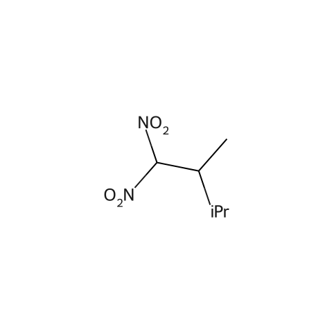 CC(C)C(C)C([N+](=O)[O-])[N+](=O)[O-]